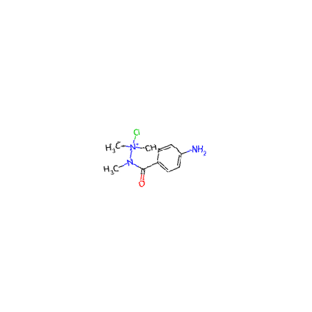 CN(C(=O)c1ccc(N)cc1)[N+](C)(C)Cl